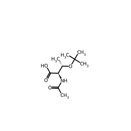 CC(=O)N[C@@H](C(=O)O)[C@H](C)OC(C)(C)C